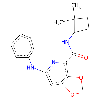 CC1(C)CCC1NC(=O)c1nc(Nc2ccccc2)cc2c1OCO2